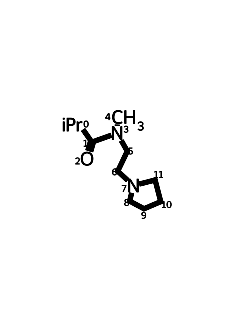 CC(C)C(=O)N(C)CCN1CCCC1